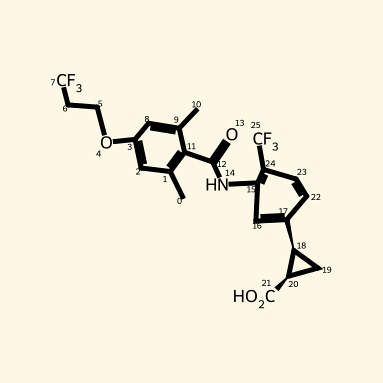 Cc1cc(OCCC(F)(F)F)cc(C)c1C(=O)Nc1cc([C@H]2C[C@H]2C(=O)O)ccc1C(F)(F)F